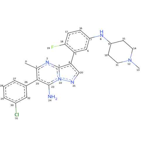 Cc1nc2c(-c3cc(NC4CCN(C)CC4)ccc3F)cnn2c(N)c1-c1cccc(Cl)c1